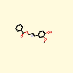 COc1cc(/C=C/COC(=O)c2ccccc2)ccc1O